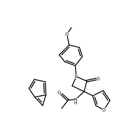 COc1ccc(N2CC(NC(C)=O)(c3ccoc3)C2=O)cc1.c1cc2cc-2c1